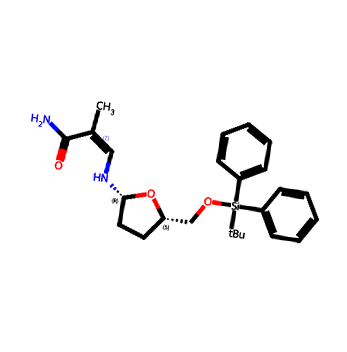 C/C(=C/N[C@H]1CC[C@@H](CO[Si](c2ccccc2)(c2ccccc2)C(C)(C)C)O1)C(N)=O